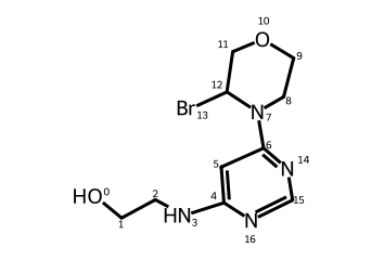 OCCNc1cc(N2CCOCC2Br)ncn1